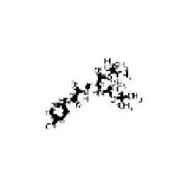 CC(C)(C)OC(=O)N[C@@H](CNC(=O)C(=O)Nc1ccc(Cl)cn1)C(=O)OC(C)(C)C